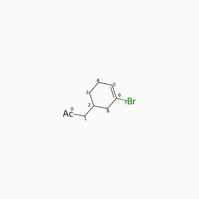 CC(=O)CC1CCC=C(Br)C1